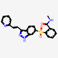 CNC(=O)c1ccccc1S(=O)(=O)c1ccc2c(/C=C/c3ccccn3)n[nH]c2c1